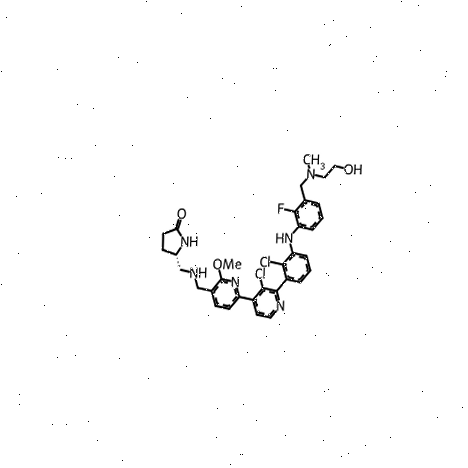 COc1nc(-c2ccnc(-c3cccc(Nc4cccc(CN(C)CCO)c4F)c3Cl)c2Cl)ccc1CNC[C@@H]1CCC(=O)N1